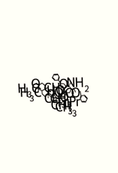 CC(C)CC[C@]1(C(=O)O[C@@H]2OC(COCc3ccccc3)[C@H](N)C(OCc3ccccc3)C2O)C(C)[C@@]2(C)CC3(C)C(=CCC4C5(C)CCC(=O)C(C)(C)C5CC[C@]43C)C21